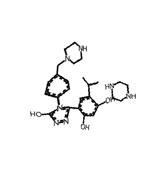 C1CNCCN1.CC(C)c1cc(-c2nnc(O)n2-c2ccc(CN3CCNCC3)cc2)c(O)cc1O